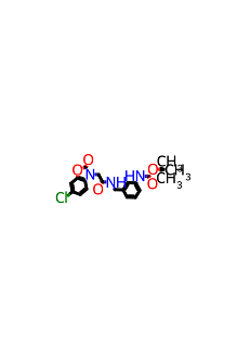 CC(C)(C)OC(=O)Nc1cccc(CNC(=O)Cn2c(=O)oc3cc(Cl)ccc32)c1